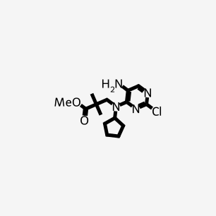 COC(=O)C(C)(C)CN(c1nc(Cl)ncc1N)C1CCCC1